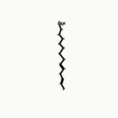 C/C=C/C/C=C/CCCCCCCC(=O)O